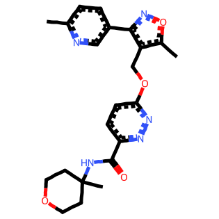 Cc1ccc(-c2noc(C)c2COc2ccc(C(=O)NC3(C)CCOCC3)nn2)cn1